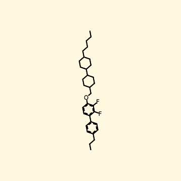 CCCCCC1CCC(C2CCC(COc3ccc(-c4ccc(CCC)cc4)c(F)c3F)CC2)CC1